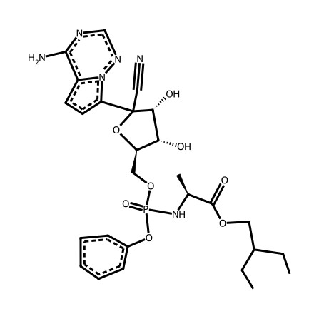 CCC(CC)COC(=O)[C@H](C)NP(=O)(OC[C@H]1OC(C#N)(c2ccc3c(N)ncnn23)[C@H](O)[C@@H]1O)Oc1ccccc1